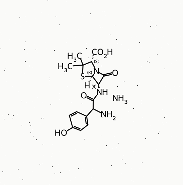 CC1(C)S[C@@H]2[C@H](NC(=O)C(N)c3ccc(O)cc3)C(=O)N2[C@H]1C(=O)O.N